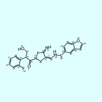 N=C1CN(C(=O)C(CO)c2ccccc2F)C/C1=C/NSc1ccc2occc2c1